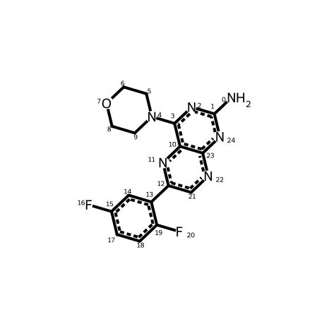 Nc1nc(N2CCOCC2)c2nc(-c3cc(F)ccc3F)cnc2n1